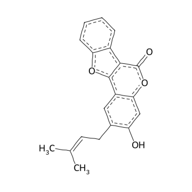 CC(C)=CCc1cc2c(cc1O)oc(=O)c1c3ccccc3oc21